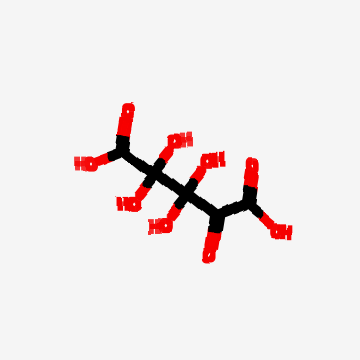 O=C(O)C(=O)C(O)(O)C(O)(O)C(=O)O